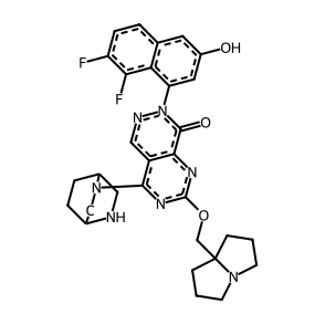 O=c1c2nc(OCC34CCCN3CCC4)nc(N3CC4CCC3CN4)c2cnn1-c1cc(O)cc2ccc(F)c(F)c12